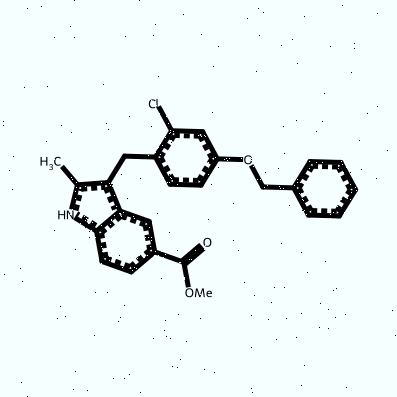 COC(=O)c1ccc2[nH]c(C)c(Cc3ccc(OCc4ccccc4)cc3Cl)c2c1